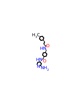 Cc1ccc(C=CC(=O)NCc2ccc(C(=O)Nc3ccnc(N)c3)cc2)cc1